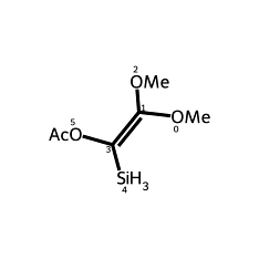 COC(OC)=C([SiH3])OC(C)=O